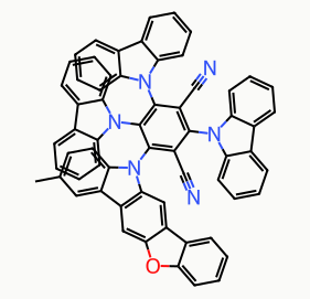 Cc1ccc2c(c1)c1cc3oc4ccccc4c3cc1n2-c1c(C#N)c(-n2c3ccccc3c3ccccc32)c(C#N)c(-n2c3ccccc3c3ccccc32)c1-n1c2ccccc2c2ccccc21